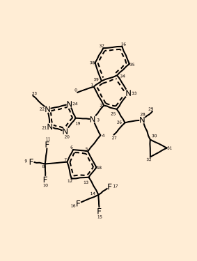 Cc1c(N(Cc2cc(C(F)(F)F)cc(C(F)(F)F)c2)c2nnn(C)n2)c(C(C)N(C)C2CC2)nc2ccccc12